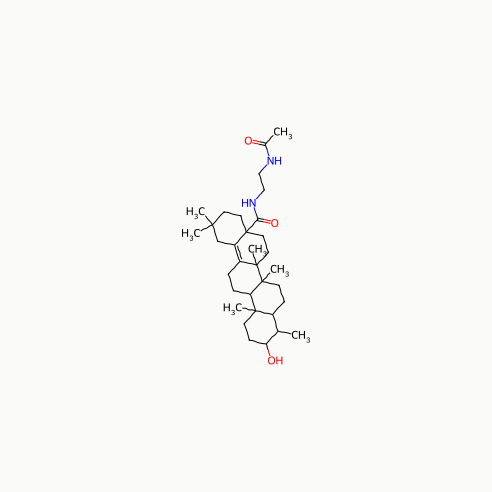 CC(=O)NCCNC(=O)C12CCC(C)(C)CC1=C1CCC3C4(C)CCC(O)C(C)C4CCC3(C)C1(C)CC2